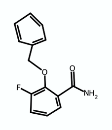 NC(=O)c1cccc(F)c1OCc1ccccc1